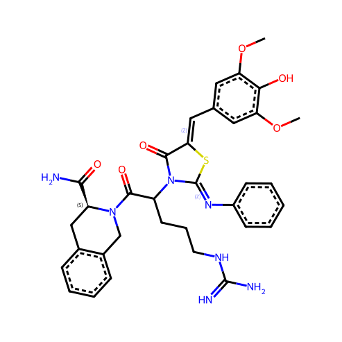 COc1cc(/C=C2\S/C(=N\c3ccccc3)N(C(CCCNC(=N)N)C(=O)N3Cc4ccccc4C[C@H]3C(N)=O)C2=O)cc(OC)c1O